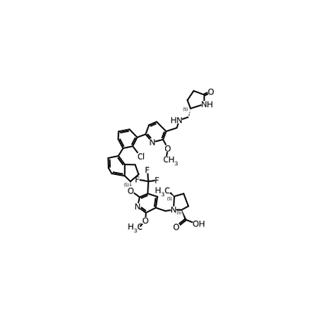 COc1nc(-c2cccc(-c3cccc4c3CC[C@@H]4Oc3nc(OC)c(CN4[C@@H](C)CC[C@H]4C(=O)O)cc3C(F)(F)F)c2Cl)ccc1CNC[C@@H]1CCC(=O)N1